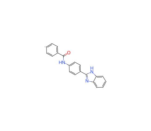 O=C(Nc1ccc(-c2nc3ccccc3[nH]2)cc1)c1cc[c]cc1